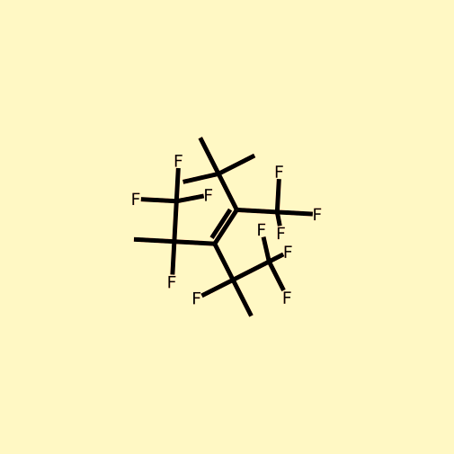 CC(C)(C)C(=C(C(C)(F)C(F)(F)F)C(C)(F)C(F)(F)F)C(F)(F)F